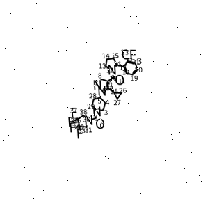 O=C(N1CCC(n2ncc(C(=O)N3CCCC3c3ccccc3C(F)(F)F)c2C2CC2)CC1)N1CC(F)(F)C(F)(F)C1